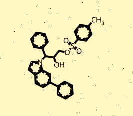 Cc1ccc(S(=O)(=O)OCC(O)C(c2ccccc2)n2ccc3ccc(-c4ccccc4)cc32)cc1